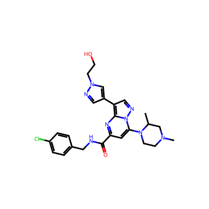 CC1CN(C)CCN1c1cc(C(=O)NCc2ccc(Cl)cc2)nc2c(-c3cnn(CCO)c3)cnn12